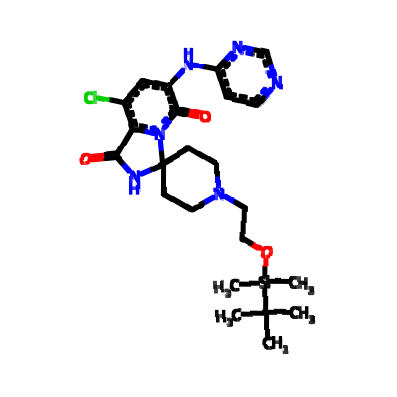 CC(C)(C)[Si](C)(C)OCCN1CCC2(CC1)NC(=O)c1c(Cl)cc(Nc3ccncn3)c(=O)n12